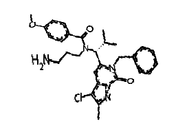 COc1ccc(C(=O)N(CCCN)[C@@H](c2cc3c(Cl)c(C)nn3c(=O)n2Cc2ccccc2)C(C)C)cc1